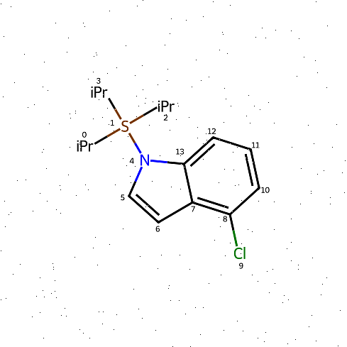 CC(C)S(C(C)C)(C(C)C)n1ccc2c(Cl)cccc21